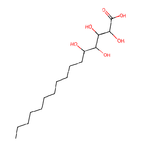 CCCCCCCCCCCC(O)C(O)C(O)C(O)C(=O)O